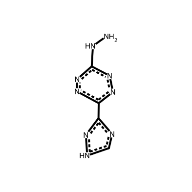 NNc1nnc(-c2nc[nH]n2)nn1